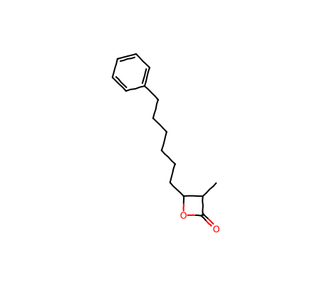 CC1C(=O)OC1CCCCCCc1ccccc1